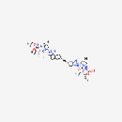 COC(=O)N[C@H](C(=O)N1[C@@H]2C[C@H]2C[C@H]1c1nc2ccc3cc(C#Cc4ccc5[nH]c([C@@H]6C[C@H]7C[C@H]7N6C(=O)[C@@H](NC(=O)O)C(C)C)nc5c4)ccc3c2[nH]1)C(C)C